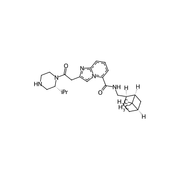 CC(C)[C@@H]1CNCCN1C(=O)Cc1cn2c(C(=O)NC[C@@H]3CC[C@@H]4C[C@H]3C4(C)C)cccc2n1